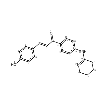 O=C(/C=C/c1ccc(O)cc1)c1ccc(NC2=NCCCS2)cc1